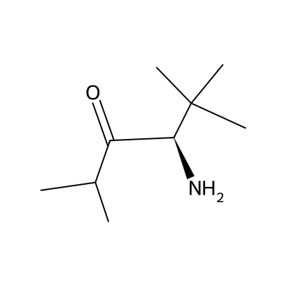 CC(C)C(=O)[C@H](N)C(C)(C)C